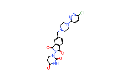 O=C1CCN(N2C(=O)c3ccc(CN4CCN(c5ccc(Cl)nn5)CC4)cc3C2=O)C(=O)N1